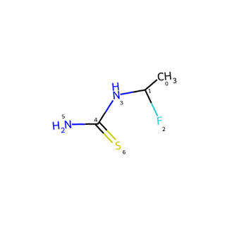 CC(F)NC(N)=S